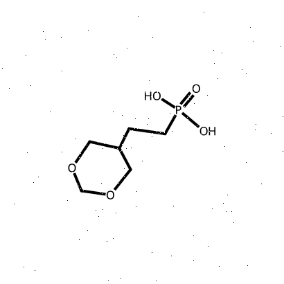 O=P(O)(O)CCC1COCOC1